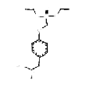 CCOP(=O)(COc1ccc(C[C@@H](C)N)cc1)OCC